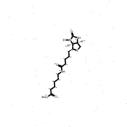 CCN1C(=O)N[C@H]2CS[C@@H](CCCCC(=O)NCCCCCC(=O)OC)[C@H]21